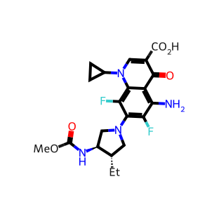 CC[C@H]1CN(c2c(F)c(N)c3c(=O)c(C(=O)O)cn(C4CC4)c3c2F)C[C@@H]1NC(=O)OC